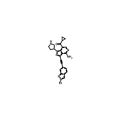 CCn1cc2ccc(C#Cc3nn(C4CCNC4)c4c(C(=O)C5CC5)cnc(N)c34)cc2n1